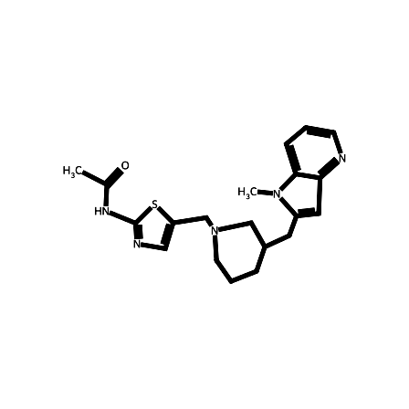 CC(=O)Nc1ncc(CN2CCCC(Cc3cc4ncccc4n3C)C2)s1